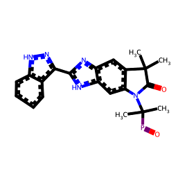 CC1(C)C(=O)N(C(C)(C)P=O)c2cc3[nH]c(-c4n[nH]c5ccccc45)nc3cc21